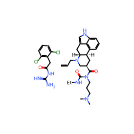 C=CCN1C[C@H](C(=O)N(CCCN(C)C)C(=O)NCC)C[C@@H]2c3cccc4[nH]cc(c34)C[C@H]21.N=C(N)NC(=O)Cc1c(Cl)cccc1Cl